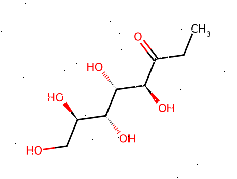 CCC(=O)[C@@H](O)[C@@H](O)[C@H](O)[C@H](O)CO